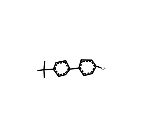 CC(C)(C)c1ccc(-c2ccc([O])cc2)cc1